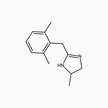 Cc1cccc(C)c1CC1=NCC(C)N1